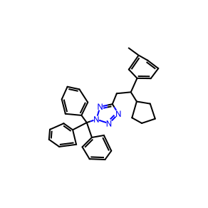 Cc1cccc(C(Cc2nnn(C(c3ccccc3)(c3ccccc3)c3ccccc3)n2)C2CCCC2)c1